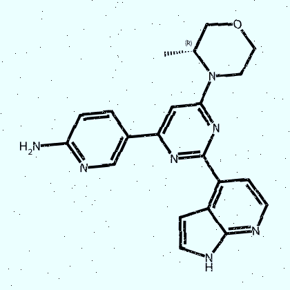 C[C@@H]1COCCN1c1cc(-c2ccc(N)nc2)nc(-c2ccnc3[nH]ccc23)n1